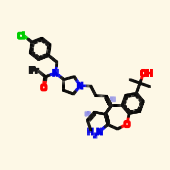 C/C=C\C1=C(N)COc2ccc(C(C)(C)O)cc2/C1=C/CCN1CCC(N(Cc2ccc(Cl)cc2)C(=O)C(C)C)C1